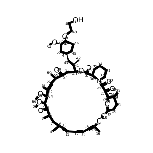 COC1C(=O)C(C)CC(C)C=CC=CC=C(C)CCC2CCC(C)C(O)(O2)C(=O)C(=O)N2CCCCC2C(=O)OC([C@H](C)C[C@@H]2CC[C@@H](OCCO)[C@H](OC)C2)CC(=O)C(C)C=C(C)C1OC